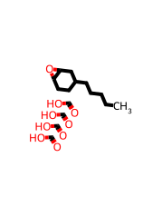 CCCCCC1CCC2OC2C1.O=CO.O=CO.O=CO.O=CO